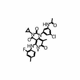 CC(=O)Nc1cc(Cl)cc(-n2c(=O)n(C3CC3)c(=O)c3c(Nc4ccc(C)cc4F)n(C)c(=O)c(C)c32)c1